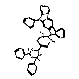 CN1C=C(C2NC(c3ccccc3)NC(C)(c3ccccc3)N2)CNC1n1c2ccccc2c2cc3c4ccccc4n(-c4ccccc4)c3cc21